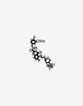 COc1cc(CNC(=O)c2nc3ccc(F)c(OCCC4CCC(NS(C)(=O)=O)CO4)c3c(=O)[nH]2)ccc1F